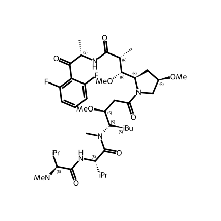 CC[C@H](C)[C@@H]([C@H](CC(=O)N1C[C@H](OC)C[C@@H]1[C@H](OC)[C@@H](C)C(=O)N[C@@H](C)C(=O)c1c(F)cccc1F)OC)N(C)C(=O)[C@@H](NC(=O)[C@@H](NC)C(C)C)C(C)C